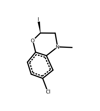 CN1C[C@H](I)Oc2ccc(Cl)cc21